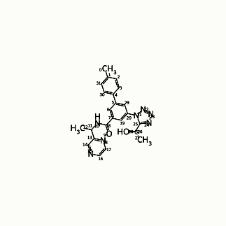 Cc1ccc(-c2cc(C(=O)NC(C)c3cnccn3)cc(-n3nnnc3[C@H](C)O)c2)cc1